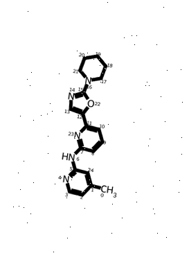 Cc1ccnc(Nc2cccc(-c3cnc(N4CCCCC4)o3)n2)c1